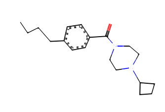 CCCCc1ccc(C(=O)N2CCN(C3CCC3)CC2)cc1